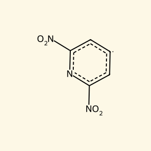 O=[N+]([O-])c1c[c]cc([N+](=O)[O-])n1